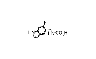 O=C(O)NCc1cc2cc[nH]c2cc1F